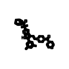 Cc1cc(C)cc(-c2[nH]c3sc(C(C)(C)C(=O)N4C5CCC4CC5)cc3c2CCN2CCN(C(=O)N3CCOCC3)CC2)c1